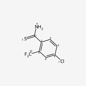 NC(=S)c1ccc(Cl)cc1C(F)(F)F